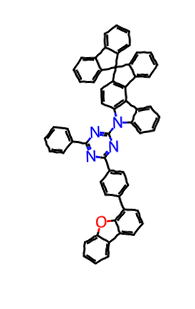 c1ccc(-c2nc(-c3ccc(-c4cccc5c4oc4ccccc45)cc3)nc(-n3c4ccccc4c4c5c(ccc43)C3(c4ccccc4-c4ccccc43)c3ccccc3-5)n2)cc1